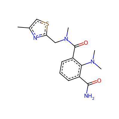 Cc1csc(CN(C)C(=O)c2cccc(C(N)=O)c2N(C)C)n1